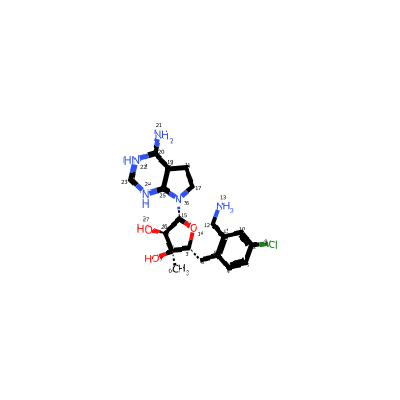 C[C@@]1(O)[C@@H](Cc2ccc(Cl)cc2CN)O[C@@H](N2CCC3C(N)NCNC32)[C@@H]1O